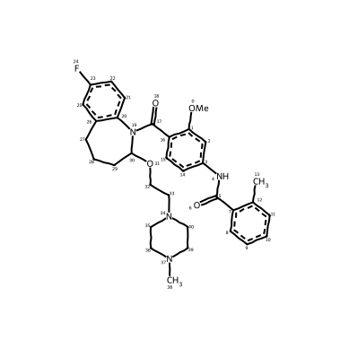 COc1cc(NC(=O)c2ccccc2C)ccc1C(=O)N1c2ccc(F)cc2CCCC1OCCN1CCN(C)CC1